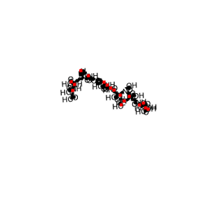 O=C(O)CC[C@H](NC(=O)N[C@@H](CCCCNC(=O)[C@H](Cc1ccccc1)NC(=O)COc1ccc(C[C@H](NC(=O)CNC(=O)CCC(C(O)O)N2CCN(CC(=O)O)CCN(C(CCC(=O)NCC(=O)NC(P(=O)(O)O)P(=O)(O)O)C(=O)O)CCN(CC(=O)O)CC2)C(=O)O)cc1)C(=O)O)C(=O)O